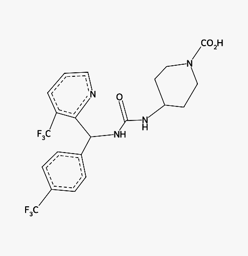 O=C(NC1CCN(C(=O)O)CC1)NC(c1ccc(C(F)(F)F)cc1)c1ncccc1C(F)(F)F